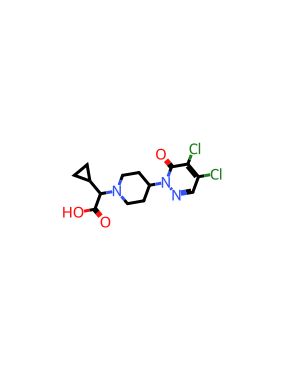 O=C(O)C(C1CC1)N1CCC(n2ncc(Cl)c(Cl)c2=O)CC1